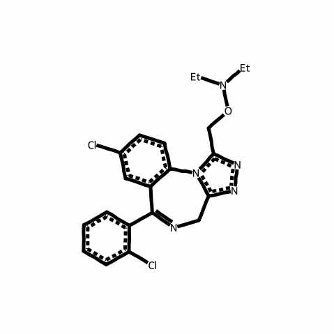 CCN(CC)OCc1nnc2n1-c1ccc(Cl)cc1C(c1ccccc1Cl)=NC2